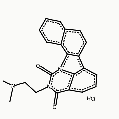 CN(C)CCn1c(=O)c2cccc3c4ccc5ccccc5c4n(c1=O)c23.Cl